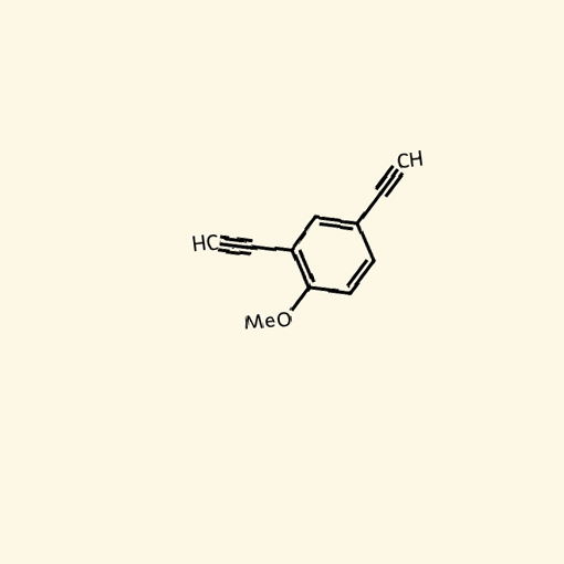 C#Cc1ccc(OC)c(C#C)c1